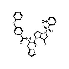 O=C(NC(Cc1cccs1)C(=O)N1CCC2C1C(=O)CN2S(=O)(=O)c1cccc[n+]1[O-])c1ccc(Oc2ccccc2)cc1